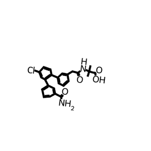 CC(C)(NC(=O)Cc1cccc(-c2ccc(Cl)cc2-c2cccc(C(N)=O)c2)c1)C(=O)O